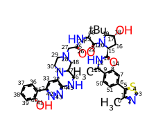 Cc1ncsc1-c1ccc(C(C)NC(=O)[C@@H]2C[C@@H](O)CN2C(=O)C(NC(=O)CN2CCN3c4cc(-c5ccccc5O)nnc4NCC3C2)C(C)(C)C)cc1